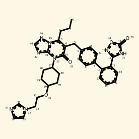 CCCc1c(Cc2ccc(-c3ccccc3-c3noc(=O)[nH]3)cc2)c(=O)n(C2CCC(OCCn3ccnc3)CC2)c2ncnn12